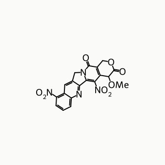 COC1C(=O)OCc2c1c([N+](=O)[O-])c1n(c2=O)Cc2cc3c([N+](=O)[O-])cccc3nc2-1